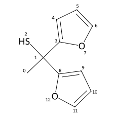 CC(S)(c1ccco1)c1ccco1